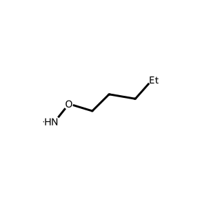 CCCCCO[NH]